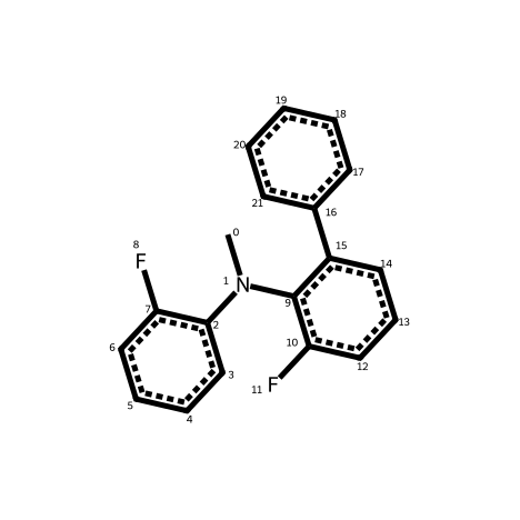 CN(c1ccccc1F)c1c(F)cccc1-c1ccccc1